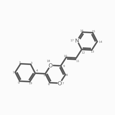 C1=CCCC(C2=COC=C(C=Cc3ccccn3)O2)=C1